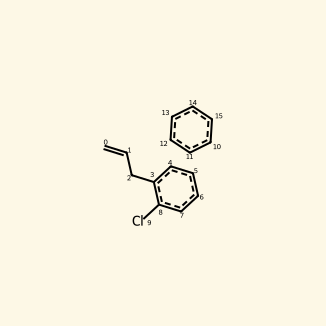 C=CCc1ccccc1Cl.c1ccccc1